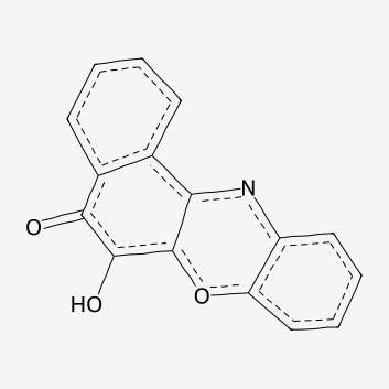 O=c1c(O)c2oc3ccccc3nc-2c2ccccc12